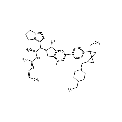 C=C(N/C(C)=N/C=C\C)C(c1ncn2c1CCC2)N1Cc2c(F)cc(-c3ccc(C4(CC)CC45CC5CN4CCC(CC)CC4)cc3)cc2C1=C